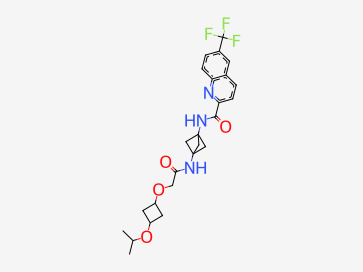 CC(C)OC1CC(OCC(=O)NC23CC(NC(=O)c4ccc5cc(C(F)(F)F)ccc5n4)(C2)C3)C1